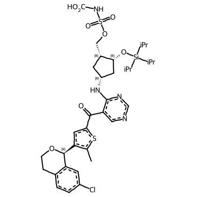 Cc1sc(C(=O)c2cncnc2N[C@@H]2C[C@H](COS(=O)(=O)NC(=O)O)[C@H](O[Si](C(C)C)(C(C)C)C(C)C)C2)cc1[C@@H]1OCCc2ccc(Cl)cc21